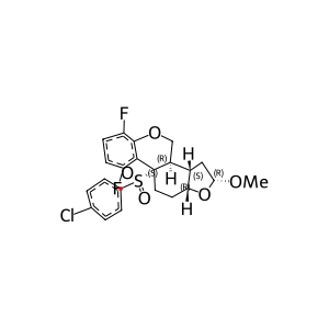 CO[C@H]1C[C@@H]2[C@@H](CC[C@@]3(S(=O)(=O)c4ccc(Cl)cc4)c4c(F)ccc(F)c4OC[C@@H]23)O1